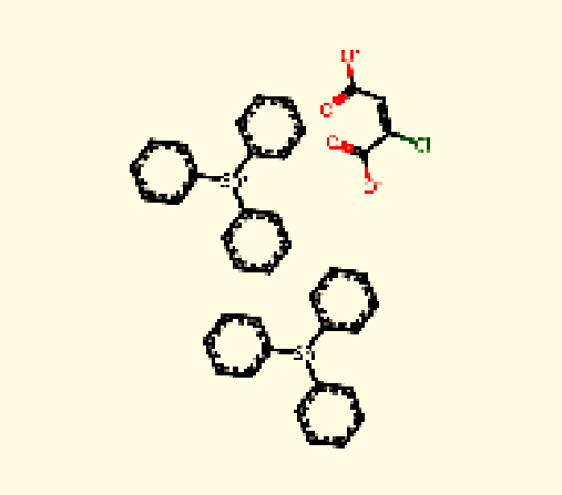 O=C([O-])/C=C(/Cl)C(=O)[O-].c1cc[c]([Sn+]([c]2ccccc2)[c]2ccccc2)cc1.c1cc[c]([Sn+]([c]2ccccc2)[c]2ccccc2)cc1